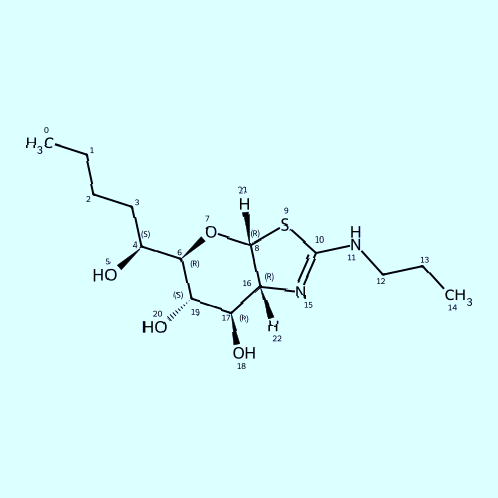 CCCC[C@H](O)[C@H]1O[C@@H]2SC(NCCC)=N[C@@H]2[C@@H](O)[C@@H]1O